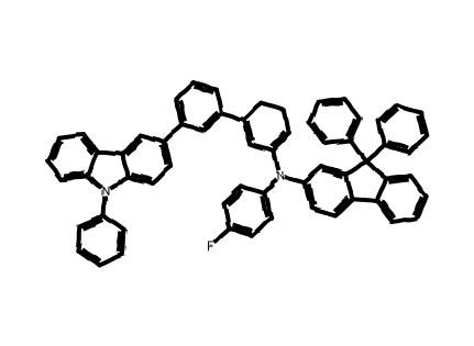 Fc1ccc(N(C2=CCCC(c3cccc(-c4ccc5c(c4)c4ccccc4n5-c4ccccc4)c3)=C2)c2ccc3c(c2)C(c2ccccc2)(c2ccccc2)c2ccccc2-3)cc1